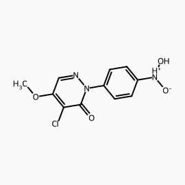 COc1cnn(-c2ccc([NH+]([O-])O)cc2)c(=O)c1Cl